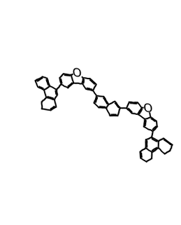 C1=Cc2cc(-c3ccc4oc5ccc(-c6ccc7ccc(-c8ccc9oc%10ccc(-c%11cc%12c(c%13ccccc%11%13)CCC=C%12)cc%10c9c8)cc7c6)cc5c4c3)c3c(c2CC1)CCC=C3